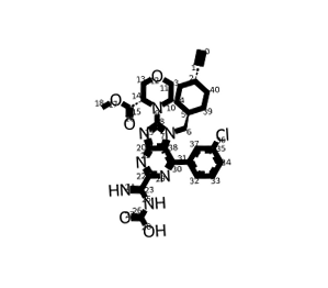 C#C[C@H]1CC[C@H](Cn2c(N3CCOC[C@H]3C(=O)OC)nc3nc(C(=N)NC(=O)O)nc(-c4cccc(Cl)c4)c32)CC1